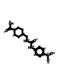 O=C(NCC1CCC(C(=O)O)CC1)Nc1ccc([N+](=O)[O-])cc1